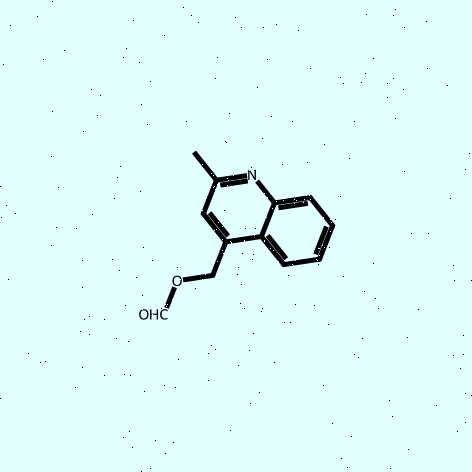 Cc1cc(COC=O)c2ccccc2n1